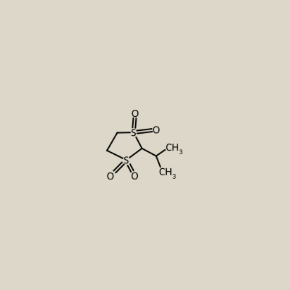 CC(C)C1S(=O)(=O)CCS1(=O)=O